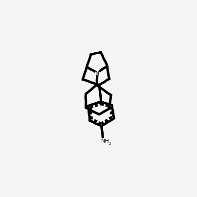 Nc1ccc(C2CC3CCC(C2)N3C2CCCCC2)cc1